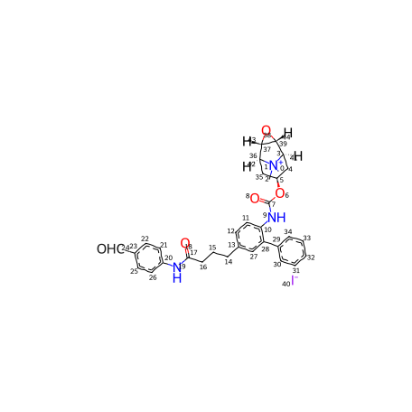 C[N+]1(C)[C@@H]2C[C@@H](OC(=O)Nc3ccc(CCCC(=O)Nc4ccc(C=O)cc4)cc3-c3ccccc3)C[C@H]1[C@@H]1O[C@@H]12.[I-]